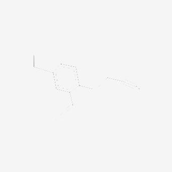 CCc1ccc(OCC#N)c(C=O)c1